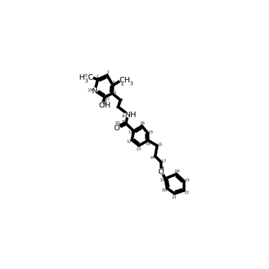 Cc1cc(C)c(CCNC(=O)c2ccc(CCCOc3ccccc3)cc2)c(O)n1